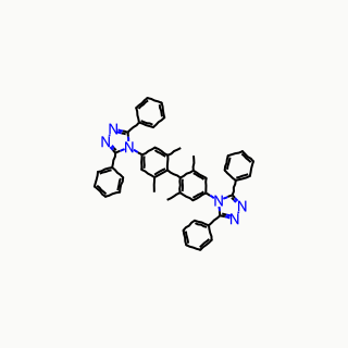 Cc1cc(-n2c(-c3ccccc3)nnc2-c2ccccc2)cc(C)c1-c1c(C)cc(-n2c(-c3ccccc3)nnc2-c2ccccc2)cc1C